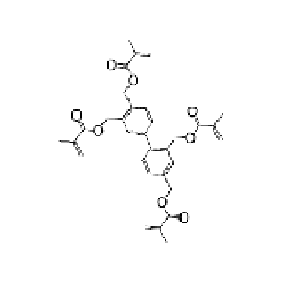 C=C(C)C(=O)OCc1ccc(-c2ccc(COC(=O)C(=C)C)c(COC(=O)C(=C)C)c2)c(COC(=O)C(=C)C)c1